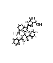 Nc1ncnc2c1c(C1C=C(c3ccccn3)NN=C1c1ccccn1)cn2[C@H]1C[C@@H](O)[C@@H](CO)O1